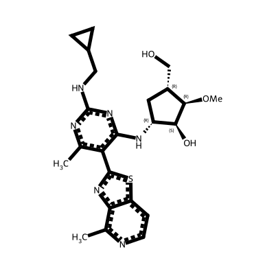 CO[C@@H]1[C@@H](CO)C[C@@H](Nc2nc(NCC3CC3)nc(C)c2-c2nc3c(C)nccc3s2)[C@@H]1O